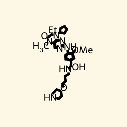 CC[C@@H]1C(=O)N(C)c2cnc(Nc3ccc(C(O)NCCCCOC4CCNCC4)cc3OC)nc2N1C1CCCC1